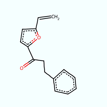 C=Cc1ccc(C(=O)CCc2ccccc2)o1